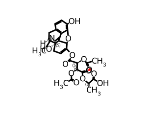 CC(=O)O[C@H](C(=O)OC1=CC[C@@]2(O)[C@H]3Cc4ccc(O)c5c4C2(CCN3C)C1O5)[C@H](OC(C)=O)C(=O)O[C@@H](C)C(=O)O